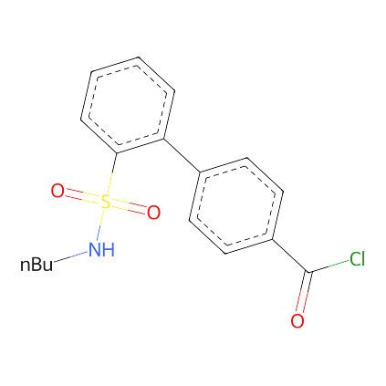 CCCCNS(=O)(=O)c1ccccc1-c1ccc(C(=O)Cl)cc1